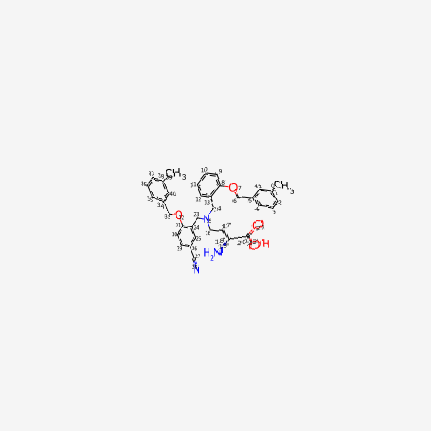 Cc1cccc(COc2ccccc2CN(CC[C@H](N)C(=O)O)Cc2cc(C#N)ccc2OCc2cccc(C)c2)c1